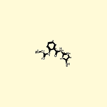 CC(C)OC(=O)Oc1ccccc1C(=O)NC1=NCC(S)S1